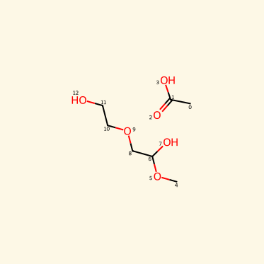 CC(=O)O.COC(O)COCCO